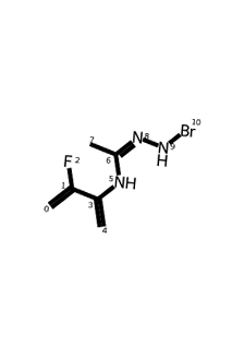 C=C(F)C(=C)N/C(C)=N\NBr